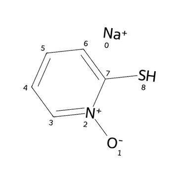 [Na+].[O-][n+]1ccccc1S